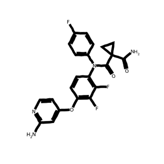 NC(=O)C1(C(=O)N(c2ccc(F)cc2)c2ccc(Oc3ccnc(N)c3)c(F)c2F)CC1